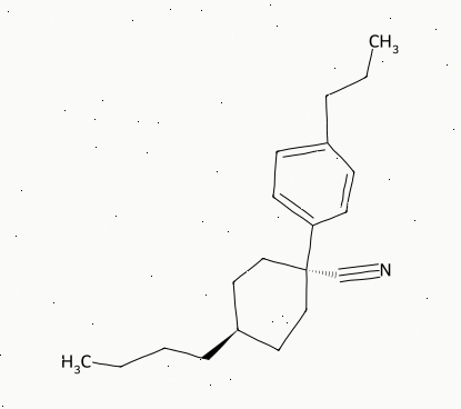 CCCC[C@H]1CC[C@@](C#N)(c2ccc(CCC)cc2)CC1